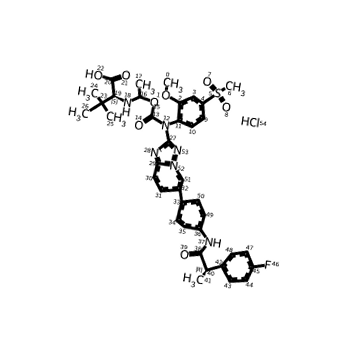 COc1cc(S(C)(=O)=O)ccc1N(C(=O)OC(C)N[C@H](C(=O)O)C(C)(C)C)c1nc2ccc(-c3ccc(NC(=O)[C@H](C)c4ccc(F)cc4)cc3)cn2n1.Cl